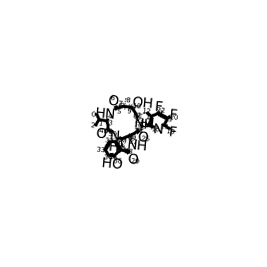 CC(C)C1NC(=O)[C@H](C)[C@H](O)[C@H](Cc2c(F)nc(F)c(F)c2F)NC(=O)[C@@H](NC(=O)c2ccccc2O)[C@@H](C)NC1=O